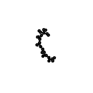 c1ccc2cc(-c3cc(-c4ccc(-n5c6ccccc6c6cc(-c7ccc8c(c7)c7ccccc7n8-c7ccc(-c8ccc9c(c8)-c8cccc%10c(-n%11c%12ccccc%12c%12cc(-c%13ccc%14c(c%13)c%13ccccc%13n%14-c%13cc%14ccccc%14c%14ccccc%13%14)ccc%12%11)ccc-9c8%10)cc7)ccc65)cc4)c(-c4ccc5ccccc5c4)c4c3-c3cccc5cccc-4c35)ccc2c1